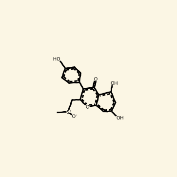 C[S+]([O-])Cc1oc2cc(O)cc(O)c2c(=O)c1-c1ccc(O)cc1